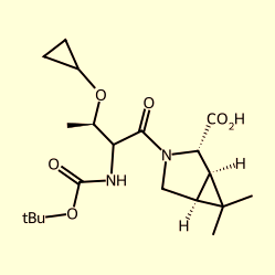 C[C@@H](OC1CC1)C(NC(=O)OC(C)(C)C)C(=O)N1C[C@H]2[C@@H]([C@H]1C(=O)O)C2(C)C